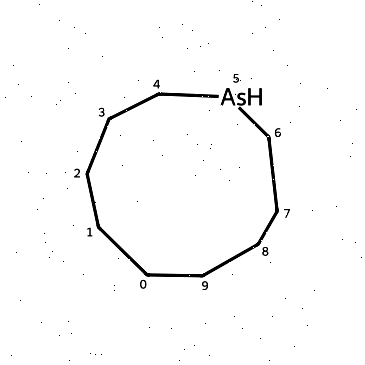 C1CCCC[AsH]CCCC1